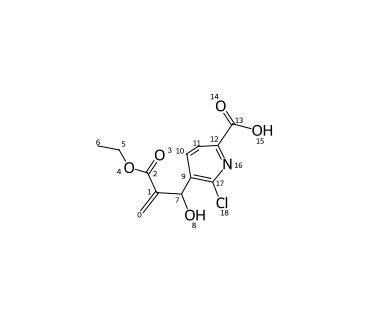 C=C(C(=O)OCC)C(O)c1ccc(C(=O)O)nc1Cl